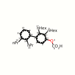 CCCCCCc1c(OC(=O)O)ccc(-c2cccc(CCC)c2CCC)c1CCCCCC